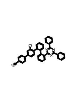 N#Cc1ccc(-c2ccc(-c3ccccc3-c3ccccc3-c3nc(-c4ccccc4)nc(-c4ccccc4)n3)c(Cl)c2)cc1